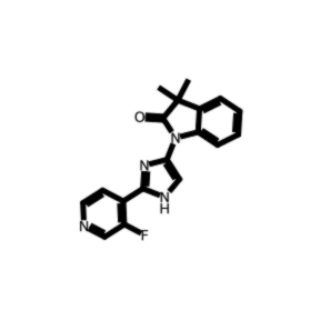 CC1(C)C(=O)N(c2c[nH]c(-c3ccncc3F)n2)c2ccccc21